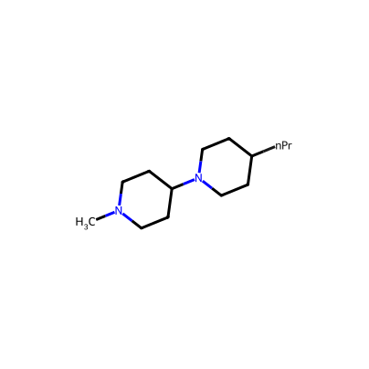 CCCC1CCN(C2CCN(C)CC2)CC1